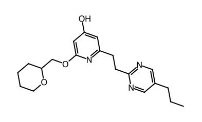 CCCc1cnc(CCc2cc(O)cc(OCC3CCCCO3)n2)nc1